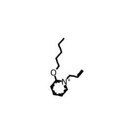 C=CC[n+]1ccccc1OCCCCC